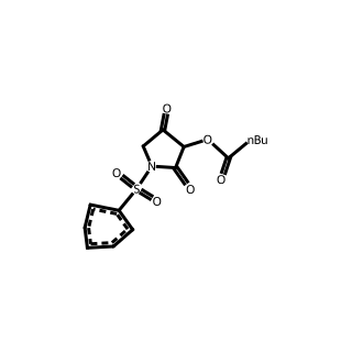 CCCCC(=O)OC1C(=O)CN(S(=O)(=O)c2ccccc2)C1=O